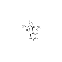 CCC(C)NC(C)(CC)c1ccccc1